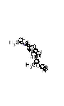 Cc1cc(Nc2ncnc3cc4c(c(F)c23)N2CCN(C(=O)/C=C/CN(C)C)[C@@H](CO4)C2)ccc1Oc1ccn2ncnc2c1